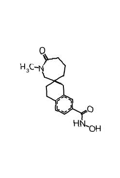 CN1CC2(CCCC1=O)CCc1ccc(C(=O)NO)cc1C2